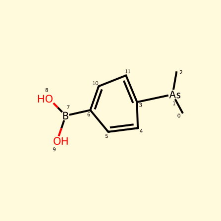 C[As](C)c1ccc(B(O)O)cc1